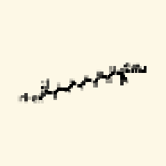 CCCCCCC(Cl)CC=CCCCCCCCC(=O)OC